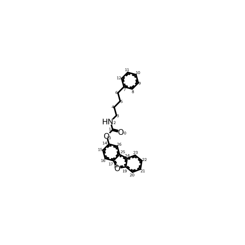 O=C(NCCCCc1ccccc1)Oc1ccc2oc3ccccc3c2c1